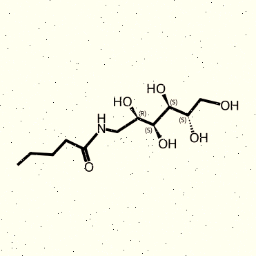 CCCCC(=O)NC[C@@H](O)[C@H](O)[C@@H](O)[C@@H](O)CO